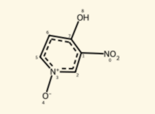 O=[N+]([O-])c1c[n+]([O-])ccc1O